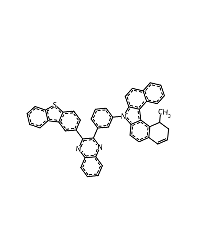 CC1CC=Cc2ccc3c(c21)c1c2ccccc2ccc1n3-c1cccc(-c2nc3ccccc3nc2-c2ccc3sc4ccccc4c3c2)c1